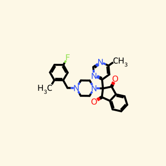 Cc1cc(C2(N3CCN(Cc4cc(F)ccc4C)CC3)C(=O)c3ccccc3C2=O)ncn1